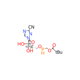 CC(C)(C)C(=O)OCPOC[C@H]1O[C@@H](n2cnc(C#N)n2)[C@H](O)[C@@H]1O